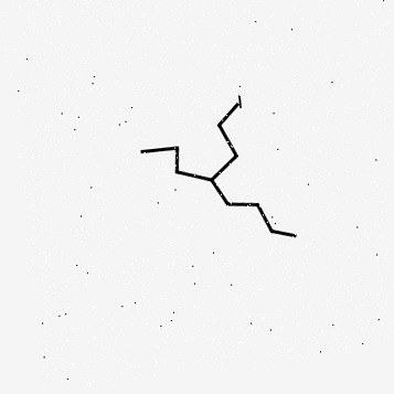 CCCCC(CCC)CCI